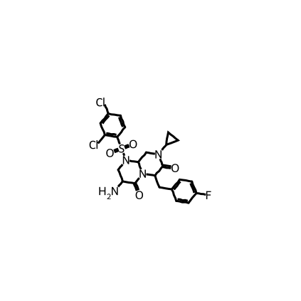 NC1CN(S(=O)(=O)c2ccc(Cl)cc2Cl)C2CN(C3CC3)C(=O)C(Cc3ccc(F)cc3)N2C1=O